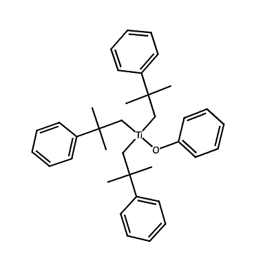 CC(C)([CH2][Ti]([CH2]C(C)(C)c1ccccc1)([CH2]C(C)(C)c1ccccc1)[O]c1ccccc1)c1ccccc1